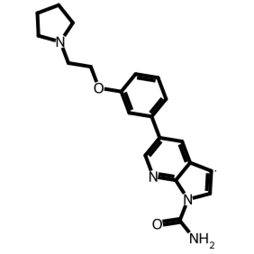 NC(=O)n1c[c]c2cc(-c3cccc(OCCN4CCCC4)c3)cnc21